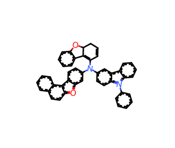 C1=CC(N(c2ccc3c(c2)oc2ccc4ccccc4c23)c2ccc3c(c2)c2ccccc2n3-c2ccccc2)=C2c3ccccc3OC2C1